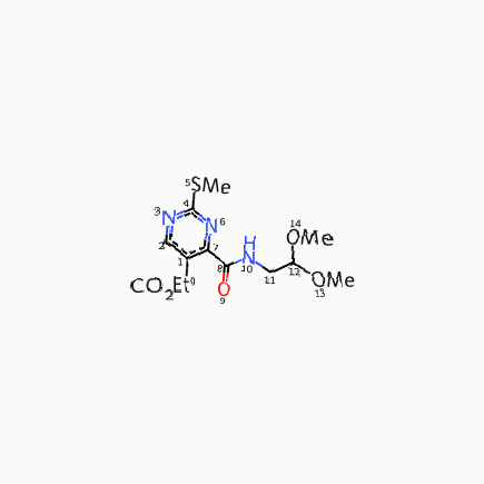 CCOC(=O)c1cnc(SC)nc1C(=O)NCC(OC)OC